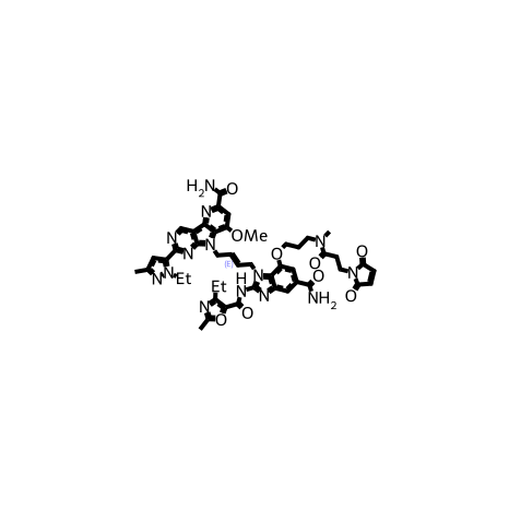 CCc1nc(C)oc1C(=O)Nc1nc2cc(C(N)=O)cc(OCCCN(C)C(=O)CCN3C(=O)C=CC3=O)c2n1C/C=C/Cn1c2nc(-c3cc(C)nn3CC)ncc2c2nc(C(N)=O)cc(OC)c21